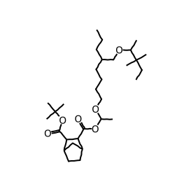 CCCC(CCCCOC(C)OC(=O)C1C2CCC(C2)C1C(=O)OC(C)(C)C)COC(C)C(C)(C)CC